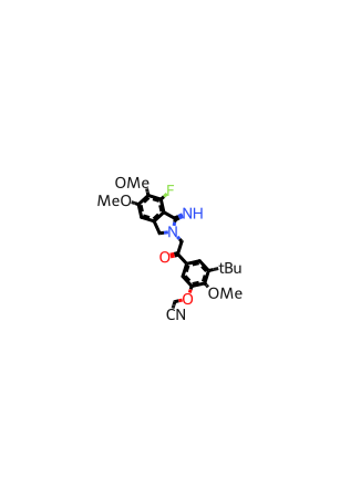 COc1cc2c(c(F)c1OC)C(=N)N(CC(=O)c1cc(OCC#N)c(OC)c(C(C)(C)C)c1)C2